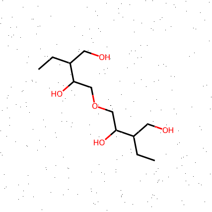 CCC(CO)C(O)COCC(O)C(CC)CO